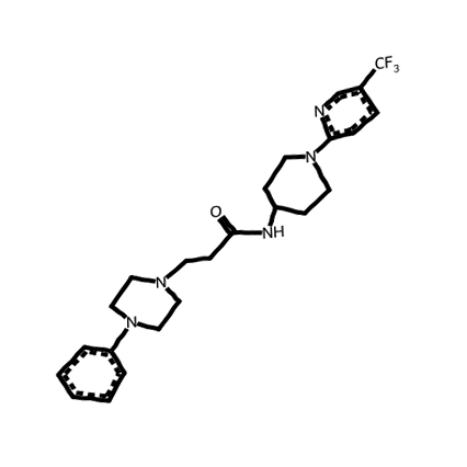 O=C(CCN1CCN(c2ccccc2)CC1)NC1CCN(c2ccc(C(F)(F)F)cn2)CC1